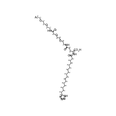 CC(=O)COCCOCCNC(=O)COCCOCCNC(=O)CC[C@H](NC(=O)CCCCCCCCCCCCCCCCc1nnn[nH]1)C(=O)O